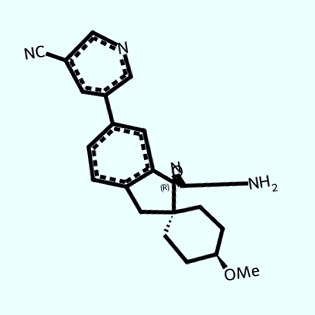 CO[C@H]1CC[C@]2(CC1)Cc1ccc(-c3cncc(C#N)c3)cc1[C@@]21COC(N)=N1